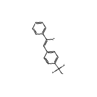 FC(=Cc1ccc(C(F)(F)F)cc1)c1ccccc1